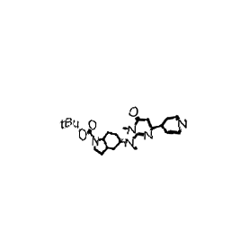 CN1C(=O)CC(C2C=CN=CC2)N=C1N(C)[C@@H]1CCC2C(CCN2C(=O)OC(C)(C)C)C1